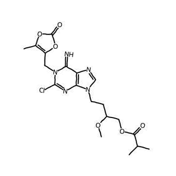 COC(CCn1cnc2c(=N)n(Cc3oc(=O)oc3C)c(Cl)nc21)COC(=O)C(C)C